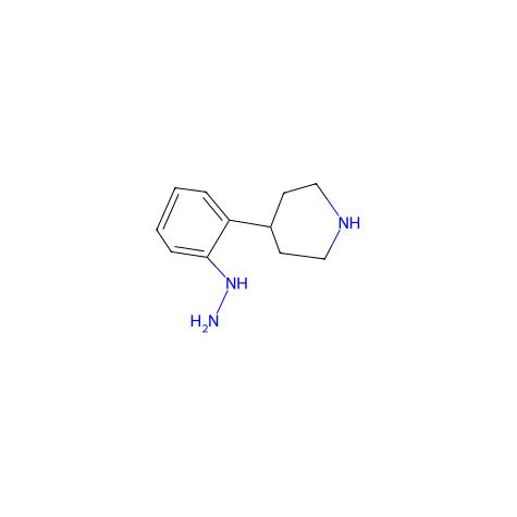 NNc1ccccc1C1CCNCC1